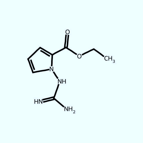 CCOC(=O)c1cccn1NC(=N)N